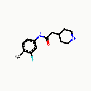 Cc1ccc(NC(=O)CC2CCNCC2)cc1F